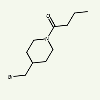 CCCC(=O)N1CCC(CBr)CC1